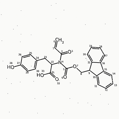 C=CC(=O)N(C(=O)OCC1c2ccccc2-c2ccccc21)C(Cc1ccc(O)cc1)C(=O)O